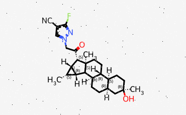 C[C@H]1[C@H]2C3[C@@H]4CC[C@@H]5C[C@](C)(O)CC[C@@H]5[C@H]4CC[C@]3(C)[C@@H](C(=O)Cn3cc(C#N)c(F)n3)[C@@H]12